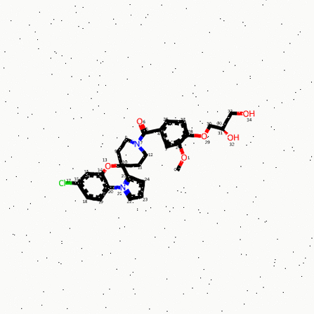 COc1cc(C(=O)N2CCC3(CC2)Oc2cc(Cl)ccc2-n2cccc23)ccc1OC[C@H](O)CO